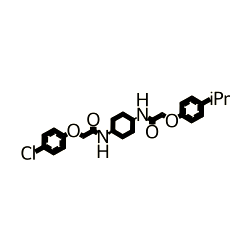 CC(C)c1ccc(OCC(=O)N[C@H]2CC[C@H](NC(=O)COc3ccc(Cl)cc3)CC2)cc1